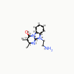 Cc1nc2n(CCN)c3ccccc3n2c(=O)c1C